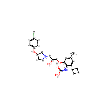 C1CCC1.Cc1ccc(NC(=O)O)c(OCC(O)CN2CCC(Oc3ccc(F)cc3)C2)c1